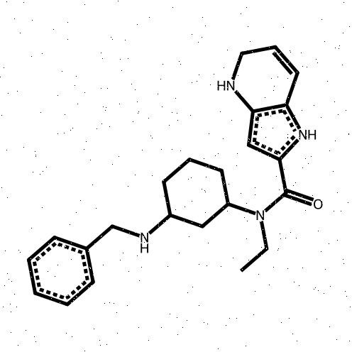 CCN(C(=O)c1cc2c([nH]1)C=CCN2)C1CCCC(NCc2ccccc2)C1